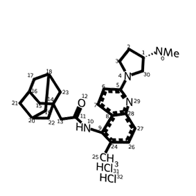 CN[C@H]1CCN(c2ccc3c(NC(=O)CC45CC6CC(CC(C6)C4)C5)c(C)ccc3n2)C1.Cl.Cl